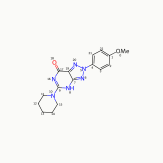 COc1ccc(-n2nc3[nH]c(N4CCCCC4)nc(=O)c3n2)cc1